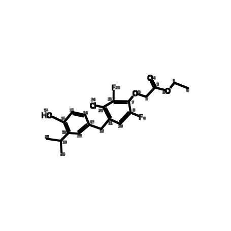 CCOC(=O)COc1c(F)cc(Cc2ccc(O)c(C(C)C)c2)c(Cl)c1F